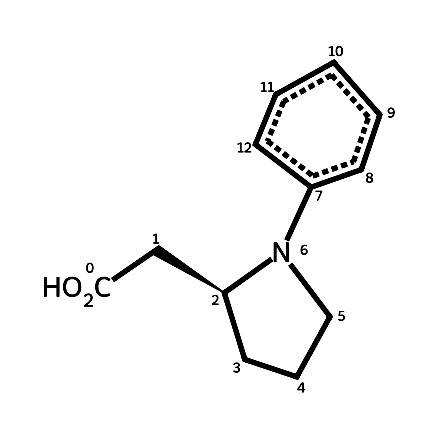 O=C(O)C[C@@H]1CCCN1c1ccccc1